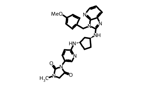 COc1ccc(Cn2c(N[C@H]3CC[C@H](Nc4ccc(N5C(=O)CN(C)C5=O)cn4)C3)nc3cccnc32)cc1